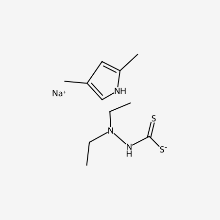 CCN(CC)NC(=S)[S-].Cc1c[nH]c(C)c1.[Na+]